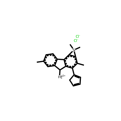 Cc1ccc2c(c1)[CH]([Hf+2])c1c(C3=CC=CC3)c(C)c3c(c1-2)[Si]3(C)C.[Cl-].[Cl-]